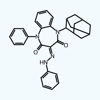 O=c1c(=NNc2ccccc2)c(=O)n(C2C3CC4CC(C3)CC2C4)c2ccccc2n1-c1ccccc1